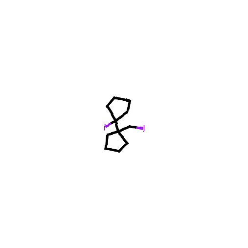 ICC1(C2(I)CCCC2)CCCC1